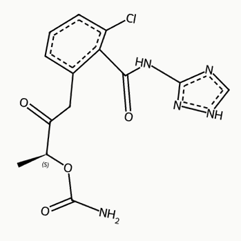 C[C@H](OC(N)=O)C(=O)Cc1cccc(Cl)c1C(=O)Nc1nc[nH]n1